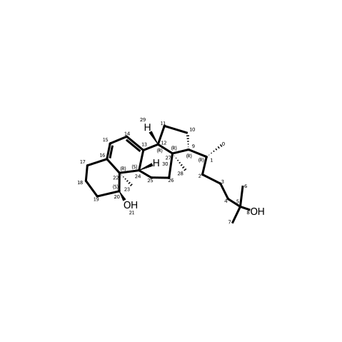 C[C@H](CCCC(C)(C)O)[C@H]1CC[C@H]2C3=CC=C4CCC[C@H](O)[C@]4(C)[C@H]3CC[C@]12C